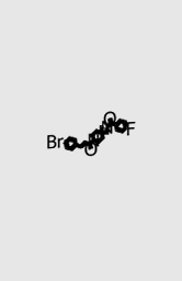 O=C(C=Cc1ccc(Br)cc1)N1CCC2(CC1)CN(C(=O)c1ccc(F)cc1)C2